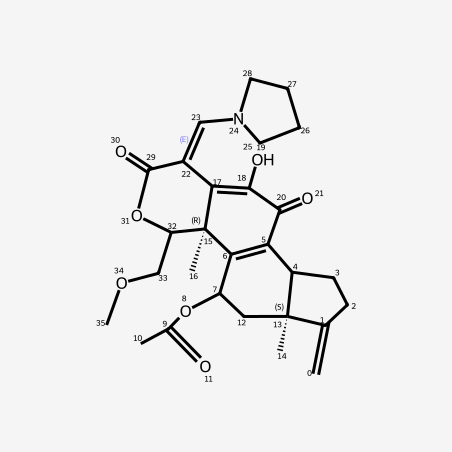 C=C1CCC2C3=C(C(OC(C)=O)C[C@]12C)[C@]1(C)C(=C(O)C3=O)/C(=C\N2CCCC2)C(=O)OC1COC